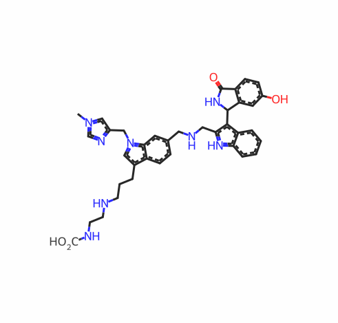 Cn1cnc(Cn2cc(CCCNCCNC(=O)O)c3ccc(CNCc4[nH]c5ccccc5c4C4NC(=O)c5ccc(O)cc54)cc32)c1